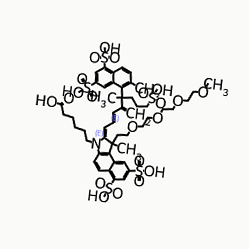 C=C(/C=C/C=C1/N(CCCCCC(=O)O)c2ccc3c(S(=O)(=O)O)cc(S(=O)(=O)O)cc3c2C1(C)CCOCCOCCOCCOC)C(C)(CCCS(=O)(=O)O)c1c(C)ccc2c(S(=O)(=O)O)cc(S(=O)(=O)O)cc12